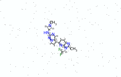 Cc1nc2ccc(-c3ccn4nc(NC5CN(C)C5)ncc34)nc2n1CC(F)F